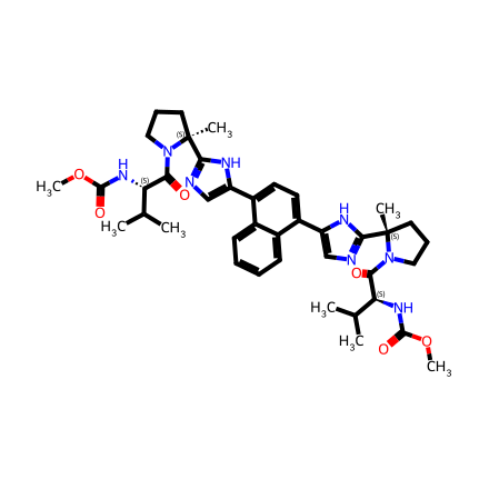 COC(=O)N[C@H](C(=O)N1CCC[C@@]1(C)c1ncc(-c2ccc(-c3cnc([C@]4(C)CCCN4C(=O)[C@@H](NC(=O)OC)C(C)C)[nH]3)c3ccccc23)[nH]1)C(C)C